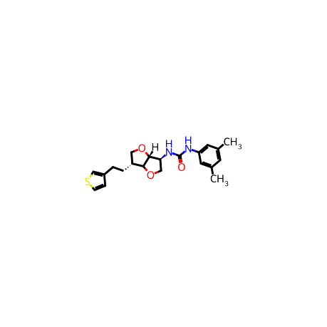 Cc1cc(C)cc(NC(=O)N[C@H]2COC3[C@H](CCc4ccsc4)CO[C@@H]32)c1